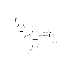 O=CCC(NC1CC1)(C(=O)O)C1c2ccc(Cl)cc2N(C(=O)c2ccc(F)cc2)C2CCCC21